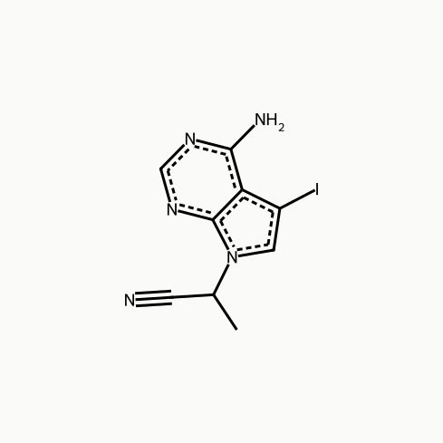 CC(C#N)n1cc(I)c2c(N)ncnc21